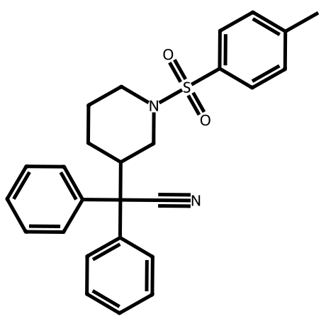 Cc1ccc(S(=O)(=O)N2CCCC(C(C#N)(c3ccccc3)c3ccccc3)C2)cc1